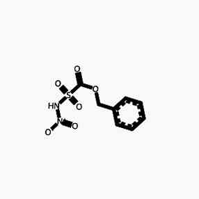 O=C(OCc1ccccc1)S(=O)(=O)N[N+](=O)[O-]